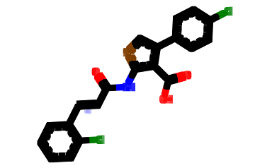 O=C(/C=C/c1ccccc1Cl)Nc1scc(-c2ccc(Cl)cc2)c1C(=O)O